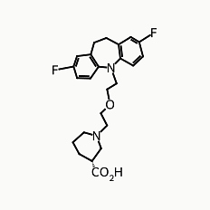 O=C(O)[C@@H]1CCCN(CCOCCN2c3ccc(F)cc3CCc3cc(F)ccc32)C1